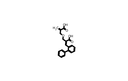 C=C(COCC(=Cc1ccccc1-c1ccccc1)C(=O)O)C(=O)O